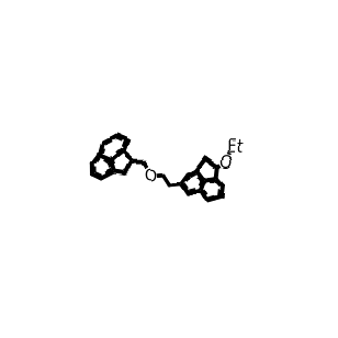 CCOC1Cc2cc(CCOCC3Cc4cccc5cccc3c45)cc3cccc1c23